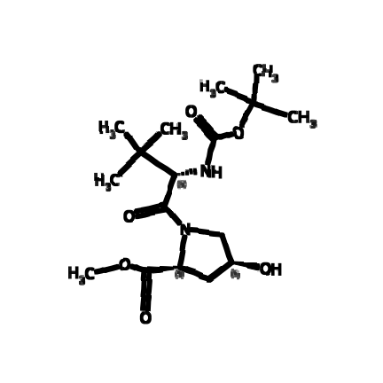 COC(=O)[C@@H]1C[C@H](O)CN1C(=O)[C@@H](NC(=O)OC(C)(C)C)C(C)(C)C